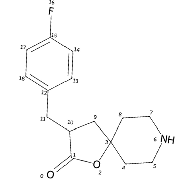 O=C1OC2(CCNCC2)CC1Cc1ccc(F)cc1